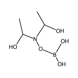 CC(O)N(OB(O)O)C(C)O